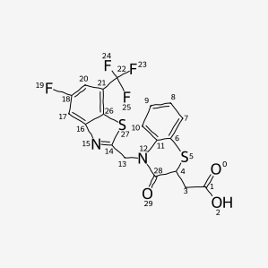 O=C(O)CC1Sc2ccccc2N(Cc2nc3cc(F)cc(C(F)(F)F)c3s2)C1=O